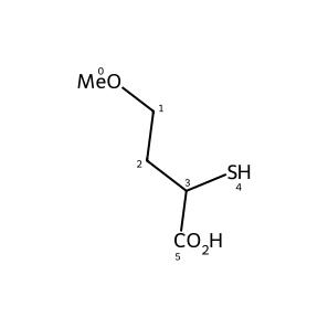 COCCC(S)C(=O)O